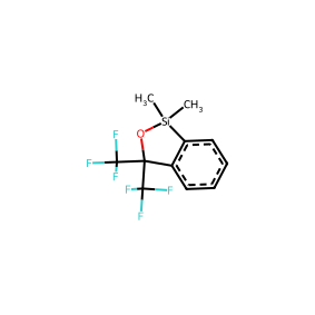 C[Si]1(C)OC(C(F)(F)F)(C(F)(F)F)c2ccccc21